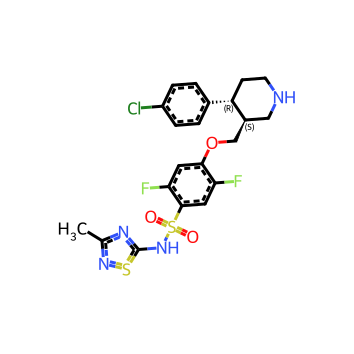 Cc1nsc(NS(=O)(=O)c2cc(F)c(OC[C@@H]3CNCC[C@H]3c3ccc(Cl)cc3)cc2F)n1